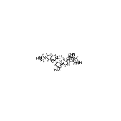 CN(Cc1ccc(-c2cn[nH]c2)cc1)C(=O)[C@H]1CCCN(c2cccc(OC(C)(C)C(=O)N3CCNCC3)c2)C1.Cl